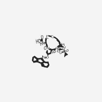 O=C(O)N[C@H]1CCCCC/C=C\[C@@H]2C[C@@]2(C(=O)NS(=O)(=O)C2CC2)NC(=O)[C@@H]2C[C@@H](ON=C3c4ccccc4-c4ccccc43)CN2C1=O